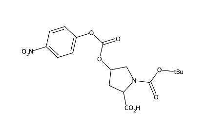 CC(C)(C)OC(=O)N1CC(OC(=O)Oc2ccc([N+](=O)[O-])cc2)CC1C(=O)O